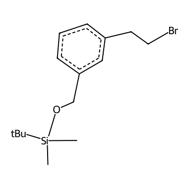 CC(C)(C)[Si](C)(C)OCc1cccc(CCBr)c1